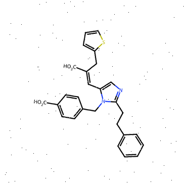 O=C(O)C(=Cc1cnc(CCc2ccccc2)n1Cc1ccc(C(=O)O)cc1)Cc1cccs1